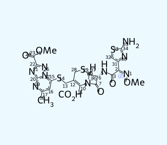 CO/N=C(\C(=O)N[C@@H]1C(=O)N2C(C(=O)O)=C(CSc3cc(C)nc4nc(C(=O)OC)nn34)CS[C@H]12)c1csc(N)n1